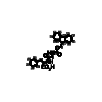 O=C(CNC(=O)OCC1c2ccccc2-c2ccccc21)N[C@@H](Cc1ccccc1)C(=O)O